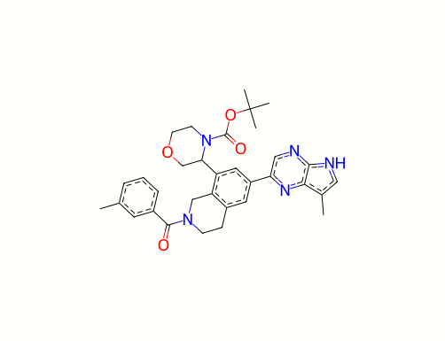 Cc1cccc(C(=O)N2CCc3cc(-c4cnc5[nH]cc(C)c5n4)cc(C4COCCN4C(=O)OC(C)(C)C)c3C2)c1